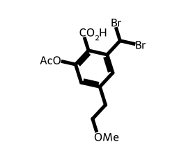 COCCc1cc(OC(C)=O)c(C(=O)O)c(C(Br)Br)c1